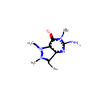 CCCCn1c(N)nc2c(c1=O)N(C)N(C)C2C(C)(C)C